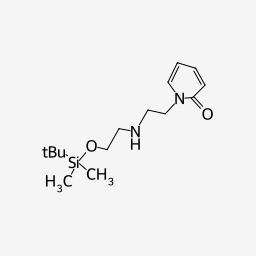 CC(C)(C)[Si](C)(C)OCCNCCn1ccccc1=O